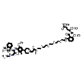 CNC(=O)CCC(C=O)N(C)C(=O)c1c(C=O)cccc1NCCOCCOCCOCCOCCNC(=O)CN1CCC(c2cc(OC(C)C)c(\N=C(Nc3ccccc3S(=O)(=O)C(C)C)/C(Cl)=C\N=C\N)cc2C)CC1